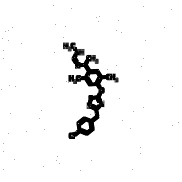 CN/C=N\C(C)c1cc(C)c(Oc2nc(Cc3ccc(Cl)cc3)ns2)cc1C